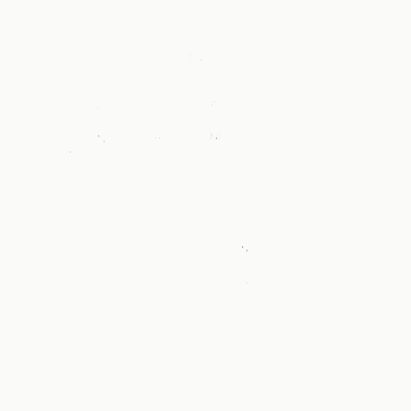 CC(C)(C)OC(=O)N[C@H](CCCNC(=O)OCc1ccccc1)C(=O)ON1C(=O)CCC1=O